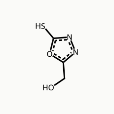 OCc1nnc(S)o1